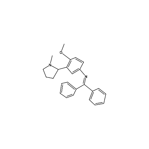 COc1ccc(N=C(c2ccccc2)c2ccccc2)cc1C1CCCN1C